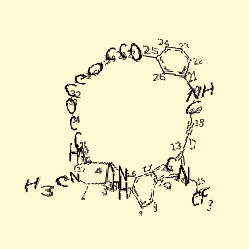 CN1CC[C@H]2Nc3cccc4c3cc(n4CC(F)(F)F)C#CCNc3cccc(c3)OCCOCCOCC[C@@H]2C1